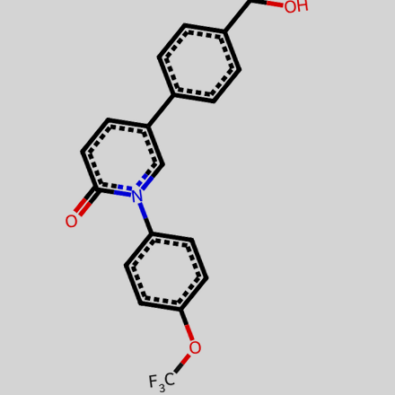 O=c1ccc(-c2ccc(CO)cc2)cn1-c1ccc(OC(F)(F)F)cc1